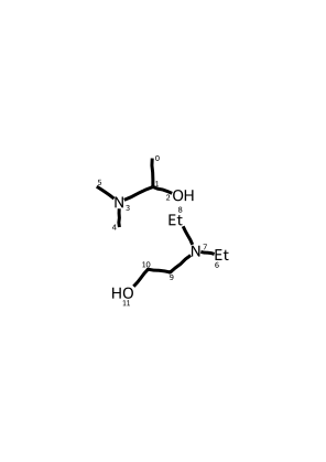 CC(O)N(C)C.CCN(CC)CCO